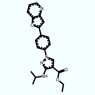 CCOC(=O)c1cn(-c2ccc(-c3cc4ncccc4o3)cc2)nc1NC(C)C